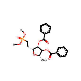 CCOP(=O)(CC[C@H]1O[C@@H](OC)[C@H](OC(=O)c2ccccc2)[C@@H]1OC(=O)c1ccccc1)OCC